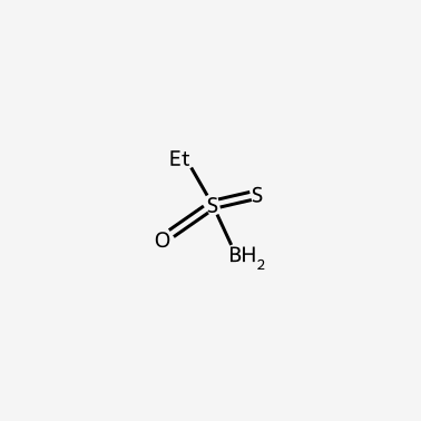 BS(=O)(=S)CC